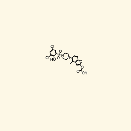 Cc1c(N2CCN(S(=O)(=O)c3cc(Cl)cc(Cl)c3O)CC2)ccc2oc(OC(=O)O)cc12